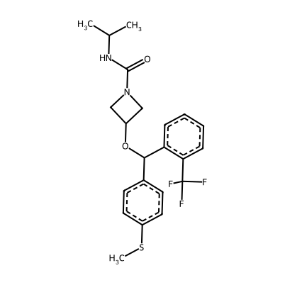 CSc1ccc(C(OC2CN(C(=O)NC(C)C)C2)c2ccccc2C(F)(F)F)cc1